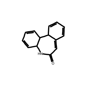 O=C1C=C2C=CC=CC2C2C=CC=CC2N1